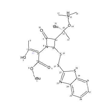 C/C(O)=C(/C(=O)OC(C)(C)C)N1C(=O)C([C@](C)(O[SiH](C)C)C(C)(C)C)C1SSc1nc2ccccc2s1